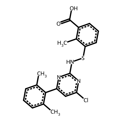 Cc1cccc(C)c1-c1cc(Cl)nc(NSc2cccc(C(=O)O)c2C)n1